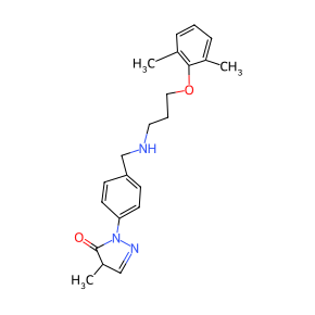 Cc1cccc(C)c1OCCCNCc1ccc(N2N=CC(C)C2=O)cc1